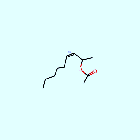 CCCCC/C=C\C(C)OC(C)=O